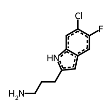 NCCCc1cc2cc(F)c(Cl)cc2[nH]1